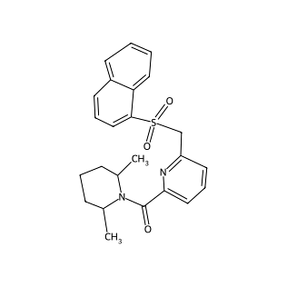 CC1CCCC(C)N1C(=O)c1cccc(CS(=O)(=O)c2cccc3ccccc23)n1